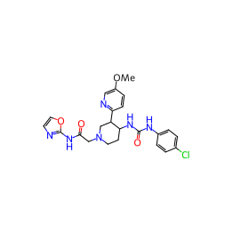 COc1ccc(C2CN(CC(=O)Nc3ncco3)CCC2NC(=O)Nc2ccc(Cl)cc2)nc1